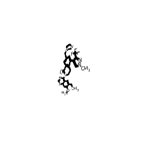 CCc1cc2c(N3CCc4c(cc(Cn5ccnc5)cc4-c4cn(C)nc4C(F)(F)F)C3=O)ncnc2cc1OC